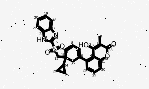 Cc1c(O)c2c(C3=CC=CC(CS(=O)(=O)c4nc5ccccc5[nH]4)(C4CC4)C3)cccc2oc1=O